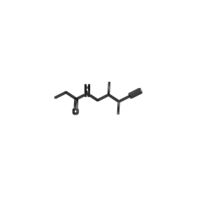 C#CC(C)C(C)CNC(=O)CC